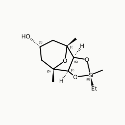 CC[Si@@]1(C)O[C@@H]2[C@H](O1)[C@@]1(C)C[C@@H](O)C[C@]2(C)O1